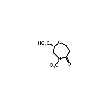 O=C(O)[C@@H]1CN(C(=O)O)C(=O)CCO1